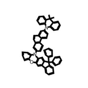 CC1(C)c2ccccc2N(c2ccc3c(ccc4cc(N5c6ccccc6Oc6cc7c(cc65)C(c5ccccc5)(c5ccccc5)c5ccccc5-7)ccc43)c2)c2ccccc21